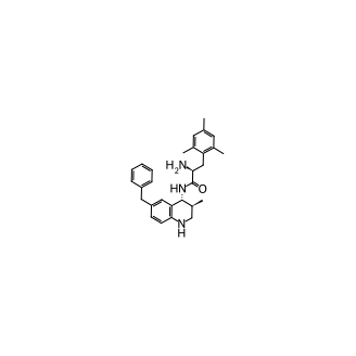 Cc1cc(C)c(C[C@H](N)C(=O)N[C@H]2c3cc(Cc4ccccc4)ccc3NC[C@@H]2C)c(C)c1